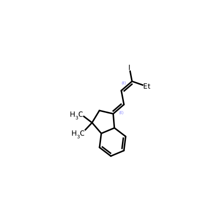 CC/C(I)=C\C=C1/CC(C)(C)C2C=CC=CC12